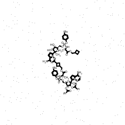 CC(C)C(=O)O[C@H]1[C@@H](OC(=O)C(C)C)[C@](C#N)(c2ccc3c(N)ncnn23)O[C@@H]1COP(=O)(N[C@@H](C)C(=O)OCC1CC(c2nc(N)c3ccc([C@]4(C)O[C@H](COP(=O)(N[C@@H](C)C(=O)OCC5CCC5)Oc5ccc(C(C)(C)C)cc5)[C@@H](O)[C@H]4O)n3n2)C1)Oc1ccc(C(C)(C)C)cc1